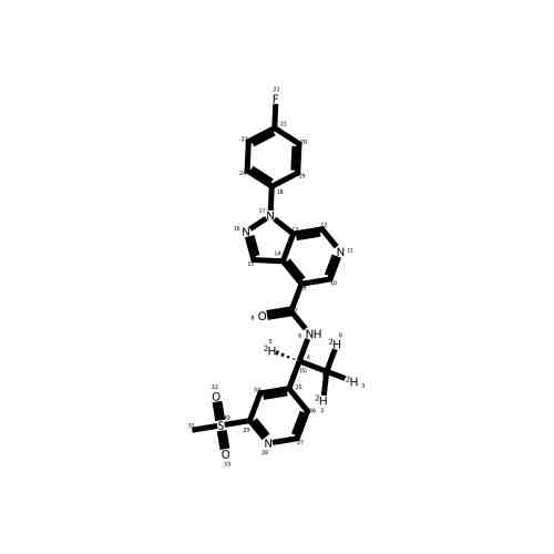 [2H]C([2H])([2H])[C@]([2H])(NC(=O)c1cncc2c1cnn2-c1ccc(F)cc1)c1ccnc(S(C)(=O)=O)c1